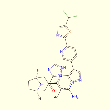 CC(=O)c1c([C@H]2C[C@H]3CC[C@@H](C2)N3C(=O)c2nc[nH]n2)nc2c(-c3ccc(-c4ncc(C(F)F)s4)nc3)cnn2c1N